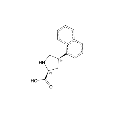 O=C(O)[C@@H]1C[C@H](c2cccc3ccccc23)CN1